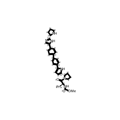 COC(=O)N[C@H](C(=O)N1CCC[C@H]1c1ccc(-c2ccc(-c3ccc(-c4cnc([C@@H]5CCCN5)[nH]4)cc3)cc2)[nH]1)C(C)C